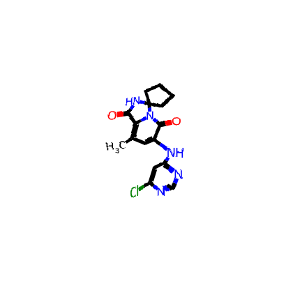 Cc1cc(Nc2cc(Cl)ncn2)c(=O)n2c1C(=O)NC21CCCC1